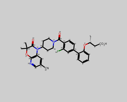 C[C@H](CC(=O)O)Oc1ccccc1-c1ccc(C(=O)N2CCC(N3C(=O)C(C)(C)Oc4ncc(C#N)cc43)CC2)c(F)c1